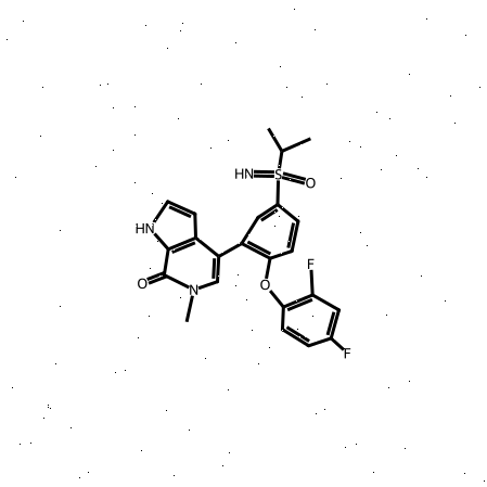 CC(C)S(=N)(=O)c1ccc(Oc2ccc(F)cc2F)c(-c2cn(C)c(=O)c3[nH]ccc23)c1